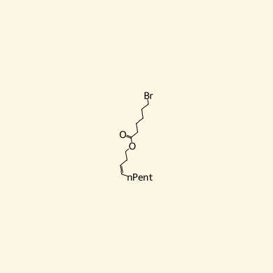 CCCCC/C=C\CCOC(=O)CCCCCBr